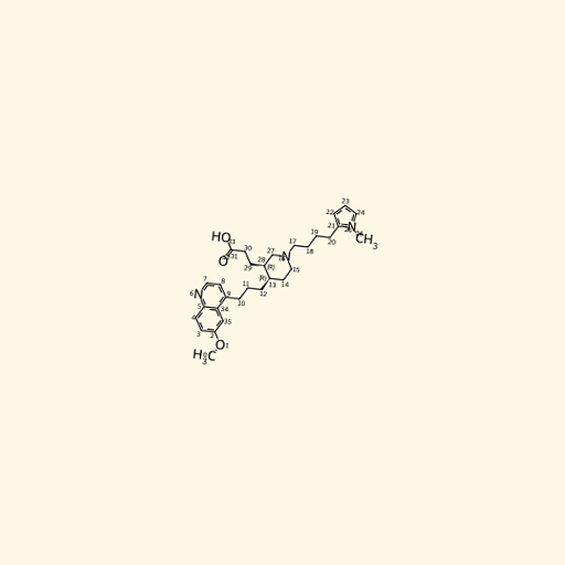 COc1ccc2nccc(CCC[C@@H]3CCN(CCCCc4cccn4C)C[C@@H]3CCC(=O)O)c2c1